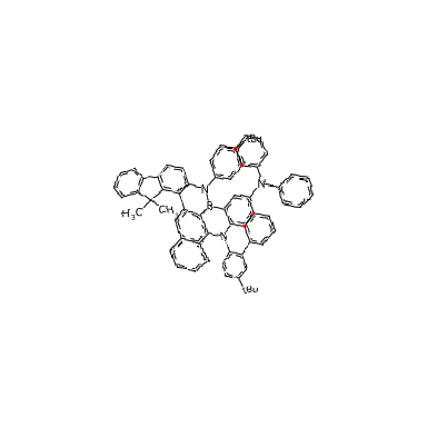 CC(C)(C)c1ccc(N2B3c4cc(N(c5ccccc5)c5ccccc5)ccc4N(c4ccc(C(C)(C)C)cc4-c4ccccc4)c4c3c(cc3ccccc43)-c3c2ccc2c3C(C)(C)c3ccccc3-2)cc1